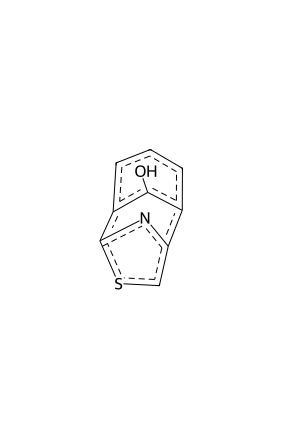 Oc1c2cccc1c1nc2cs1